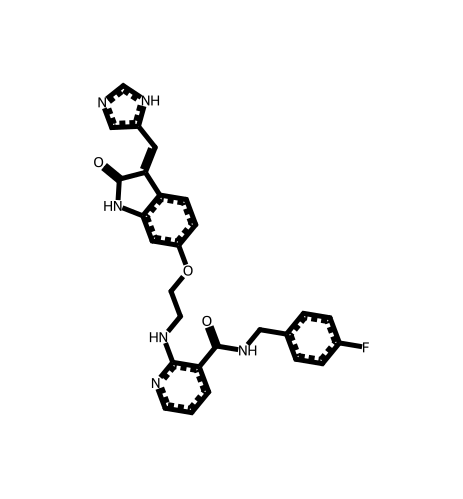 O=C1Nc2cc(OCCNc3ncccc3C(=O)NCc3ccc(F)cc3)ccc2C1=Cc1cnc[nH]1